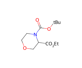 CCOC(=O)C1COCCN1C(=O)OC(C)(C)C